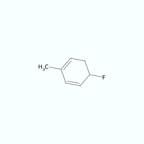 CC1=CCC(F)C=C1